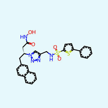 O=C(C[C@@H](Cc1ccc2ccccc2c1)n1cc(CNS(=O)(=O)c2ccc(-c3ccccc3)s2)nn1)NO